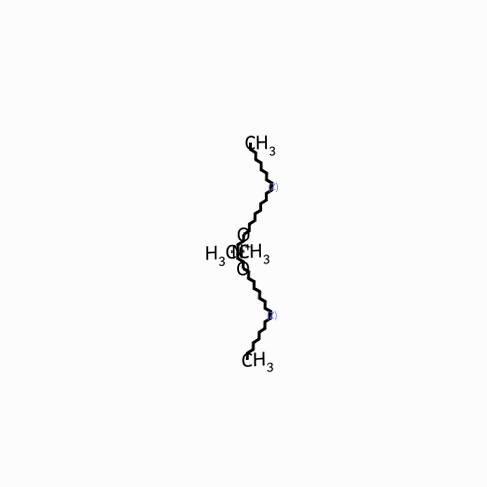 CCCCCCCC/C=C\CCCCCCCCOCC[N+](C)(C)CCOCCCCCCCC/C=C\CCCCCCCC